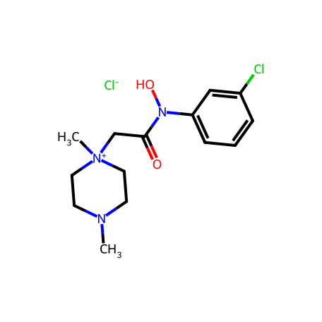 CN1CC[N+](C)(CC(=O)N(O)c2cccc(Cl)c2)CC1.[Cl-]